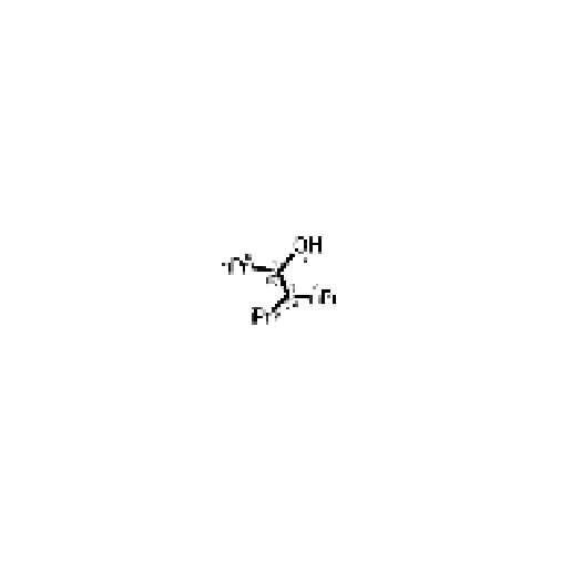 CCC[C@@H](O)[C@@H](CCC)C(C)C